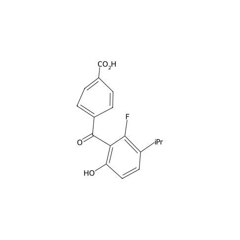 CC(C)c1ccc(O)c(C(=O)c2ccc(C(=O)O)cc2)c1F